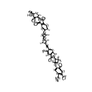 CC1(C)[C@H](Oc2ccc(C#N)c(Cl)c2)C(C)(C)[C@H]1N1Cc2cc(C#CC3CN(C4CN(c5ccc6c(c5)C(=O)N(C5CCC(=O)NC5=O)C6=O)C4)C3)c(F)cc2C1=O